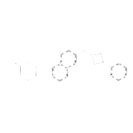 CC(C)(C)[C@H]1CC[C@H](Oc2ccc3cc(CN4CC(c5ccccc5)C4)ccc3c2)CC1